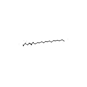 N[C@@H](CCC(=O)C(=O)CCCCCCCCCCCCCCC(=O)O)C(=O)O